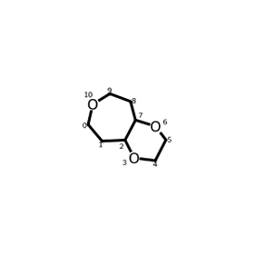 C1CC2OCCOC2CCO1